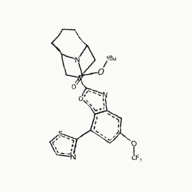 CC(C)(C)OC(=O)N1C2CCCC1CN(c1nc3cc(OC(F)(F)F)cc(-c4nccs4)c3o1)C2